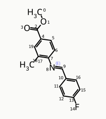 COC(=O)c1ccc(/N=C/c2ccc(F)cc2)c(C)c1